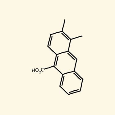 Cc1ccc2c(C(=O)O)c3ccccc3cc2c1C